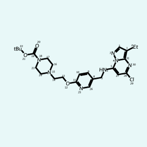 CCc1cnn2c(NCc3ccc(OCCN4CCN(C(=O)OC(C)(C)C)CC4)nc3)cc(Cl)nc12